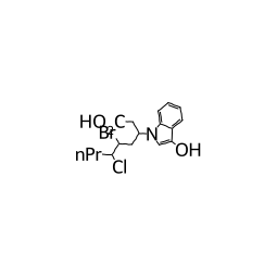 CCCC(Cl)C(Br)CC(CC(=O)O)n1cc(O)c2ccccc21